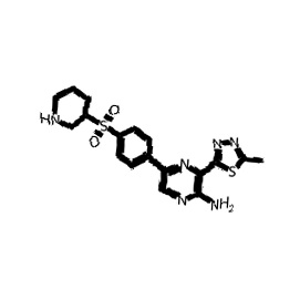 Cc1nnc(-c2nc(-c3ccc(S(=O)(=O)C4CCCNC4)cc3)cnc2N)s1